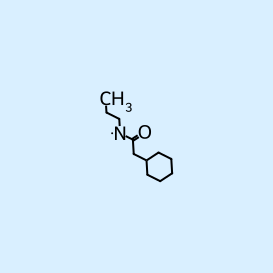 CCC[N]C(=O)CC1CCCCC1